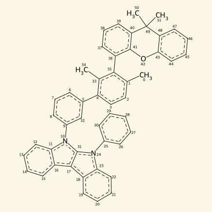 Cc1ccc(-c2cccc(-n3c4ccccc4c4c5ccccc5n(-c5ccccc5)c43)c2)c(C)c1-c1cccc2c1Oc1ccccc1C2(C)C